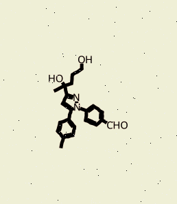 Cc1ccc(-c2cc(C(C)(O)CCCO)nn2-c2ccc(C=O)cc2)cc1